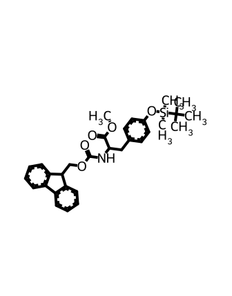 COC(=O)C(Cc1ccc(O[Si](C)(C)C(C)(C)C)cc1)NC(=O)OCC1c2ccccc2-c2ccccc21